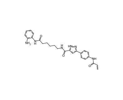 C=CC(=O)Nc1ccc(-c2cc(C(=O)NCCCCCC(=O)Nc3ccccc3N)[nH]n2)cc1